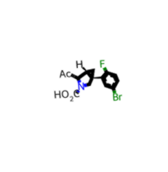 CC(=O)C1[C@@H]2C[C@]2(c2cc(Br)ccc2F)CN1C(=O)O